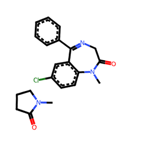 CN1C(=O)CN=C(c2ccccc2)c2cc(Cl)ccc21.CN1CCCC1=O